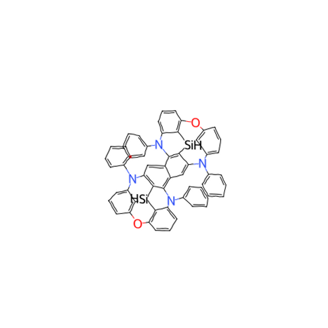 c1ccc(N2c3cccc4c3[SiH]3c5c(cccc5N(c5ccccc5)c5c3c2cc2c3c6c(cc52)N(c2ccccc2)c2cccc5c2[SiH]6c2c(cccc2N3c2ccccc2)O5)O4)cc1